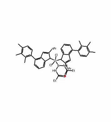 CCCC1=Cc2c(-c3ccc(C)c(C)c3C)cccc2[CH]1[Zr]([Cl])([Cl])([B](NC(=O)CC)NC(=O)CC)[CH]1C(CCC)=Cc2c(-c3ccc(C)c(C)c3C)cccc21